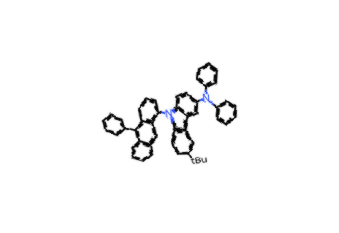 CC(C)(C)c1ccc2c(c1)c1cc(N(c3ccccc3)c3ccccc3)ccc1n2-c1cccc2c(-c3ccccc3)c3ccccc3cc12